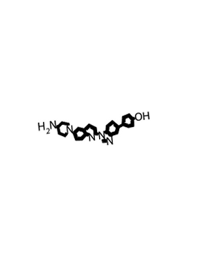 NC1CCN(c2ccc3nc(-n4cnc5cc(-c6ccc(O)cc6)ccc54)ccc3c2)CC1